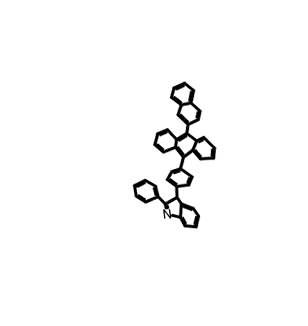 c1ccc(C2=Nc3ccccc3C2c2ccc(-c3c4ccccc4c(-c4ccc5ccccc5c4)c4ccccc34)cc2)cc1